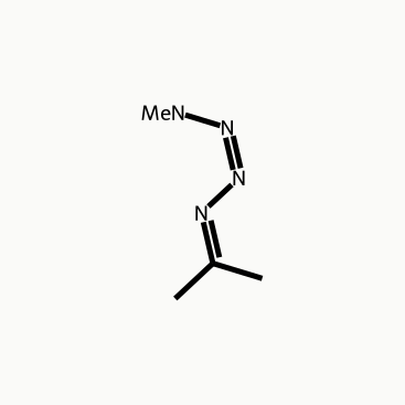 CN/N=N\N=C(C)C